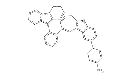 NC1=CCC(c2ccc3sc4c(c3c2)C=C(c2ccccc2-n2c3c(c5ccccc52)CCC=C3)C=CC4)C=C1